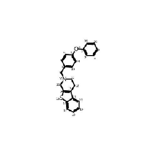 c1ccc(Oc2ccc(CN3CCc4c(sc5ccccc45)C3)cc2)cc1